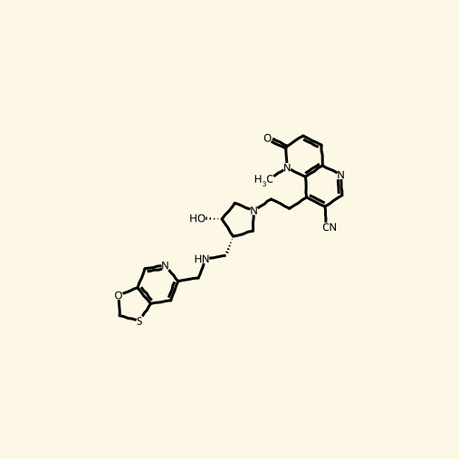 Cn1c(=O)ccc2ncc(C#N)c(CCN3C[C@H](CNCc4cc5c(cn4)OCS5)[C@H](O)C3)c21